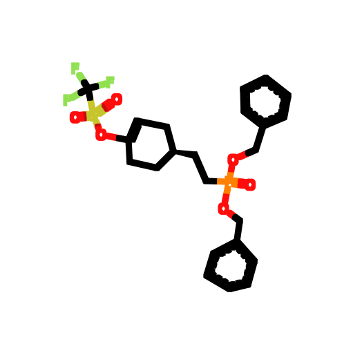 O=P(CC[C@@H]1CC=C(OS(=O)(=O)C(F)(F)F)CC1)(OCc1ccccc1)OCc1ccccc1